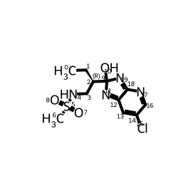 CC[C@H](CNS(C)(=O)=O)C1(O)N=c2cc(Cl)cnc2=N1